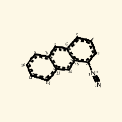 N#[N+]c1cccc2cc3ccccc3cc12